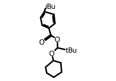 CCC(C)c1ccc(C(=O)OC(OC2CCCCC2)C(C)(C)C)cc1